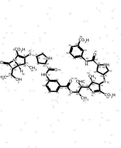 C[C@@H](O)[C@H]1C(=O)N2C(C(=O)O)=C(S[C@@H]3CN[C@H](C(=O)Nc4cccc(C(=O)O[C@H](C)[C@@H](C=O)[C@@H]5N=C(C(=O)O)C(S[C@@H]6CN[C@H](C(=O)Nc7cccc(C(=O)O)c7)C6)[C@@H]5C)c4)C3)[C@H](C)[C@H]12